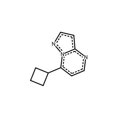 c1cc(C2CCC2)n2nccc2n1